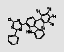 [2H]c1c([2H])c([2H])c(-c2ccc(-c3nc(Cl)nc(-c4ccccc4)n3)c3[nH]c4ccccc4c23)c([2H])c1[2H]